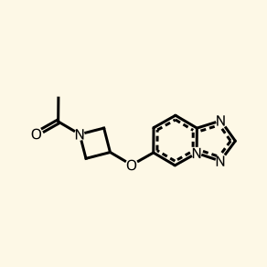 CC(=O)N1CC(Oc2ccc3ncnn3c2)C1